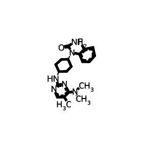 Cc1cnc(N[C@H]2CC[C@@H](N(C(N)=O)c3ccccc3F)CC2)nc1N(C)C